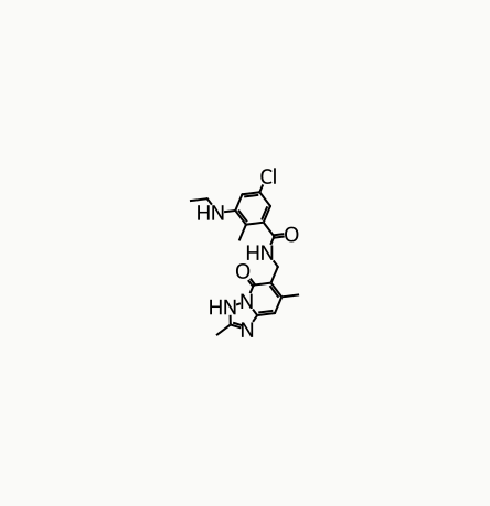 CCNc1cc(Cl)cc(C(=O)NCc2c(C)cc3nc(C)[nH]n3c2=O)c1C